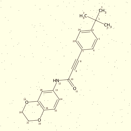 CC(C)(C)c1ccc(C#CC(=O)Nc2ccc3c(c2)OCCO3)cc1